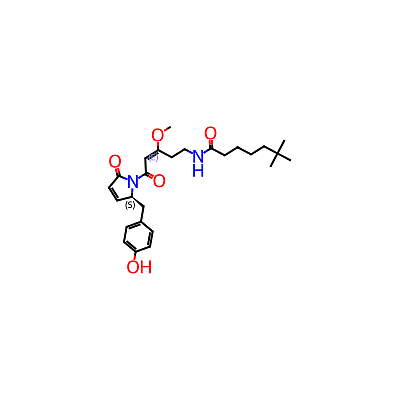 CO/C(=C/C(=O)N1C(=O)C=C[C@@H]1Cc1ccc(O)cc1)CCNC(=O)CCCCC(C)(C)C